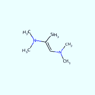 CN(C)C=C([SiH3])N(C)C